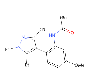 CCc1c(-c2ccc(OC)cc2NC(=O)C(C)(C)C)c(C#N)nn1CC